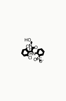 O=C(NCO)C(Nc1ccccc1[N+](=O)[O-])c1c(Cl)cccc1Cl